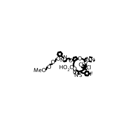 COCCOCCOCCOc1ccccc1-c1nccc(COc2ccc3cc2CC(C(=O)O)Oc2ncnc4sc(-c5ccc(F)cc5)c(c24)-c2c(C)c(Cl)c(c(Cl)c2C)OC(CN2CCN(C)CC2)CO3)n1